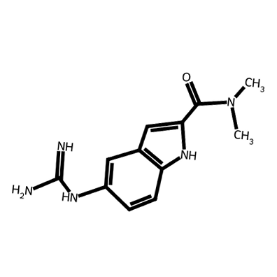 CN(C)C(=O)c1cc2cc(NC(=N)N)ccc2[nH]1